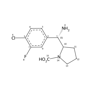 N[C@@H](c1ccc(Cl)c(F)c1)C1CCCN1C(=O)O